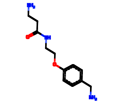 NCCC(=O)NCCOc1ccc(CN)cc1